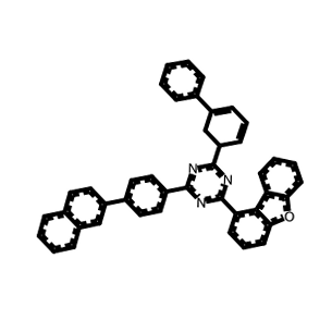 C1=CC(c2nc(-c3ccc(-c4ccc5ccccc5c4)cc3)nc(-c3cccc4oc5ccccc5c34)n2)CC(c2ccccc2)=C1